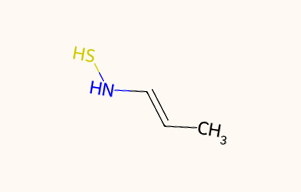 CC=CNS